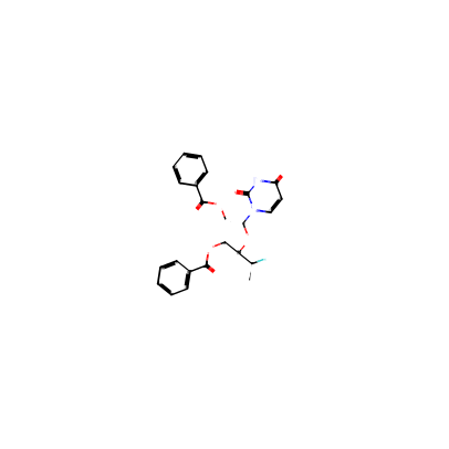 C[C@H](F)[C@@](F)(COC(=O)c1ccccc1)O[C@H](COC(=O)c1ccccc1)n1ccc(=O)[nH]c1=O